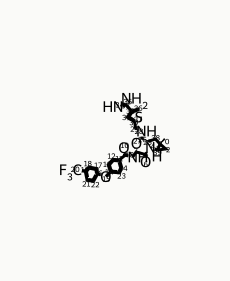 C[C@@]12C[C@@H]1N(C(=O)CNC(=O)c1ccc(Oc3ccc(C(F)(F)F)cc3)cc1)[C@H](C(=O)NCc1cc(C(=N)N)cs1)C2